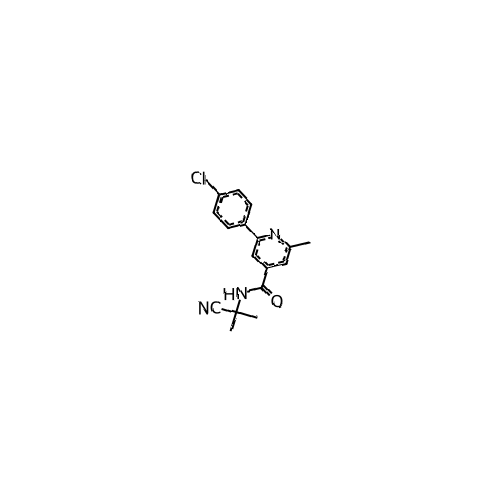 Cc1cc(C(=O)NC(C)(C)C#N)cc(-c2ccc(Cl)cc2)n1